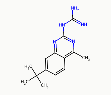 Cc1nc(NC(=N)N)nc2cc(C(C)(C)C)ccc12